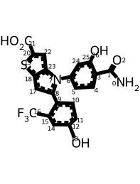 NC(=O)c1ccc(-n2c(-c3ccc(O)cc3C(F)(F)F)cc3sc(C(=O)O)cc32)cc1O